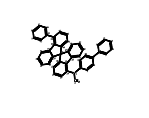 CN(c1ccc(-c2ccccc2)cc1)c1cccc2c1-c1ccccc1C21c2ccccc2-c2c(-c3ccccc3)cccc21